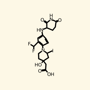 O=C(O)CC1(O)CCN(c2ccc(NC3CCC(=O)NC3=O)cc2C(F)F)C(I)C1